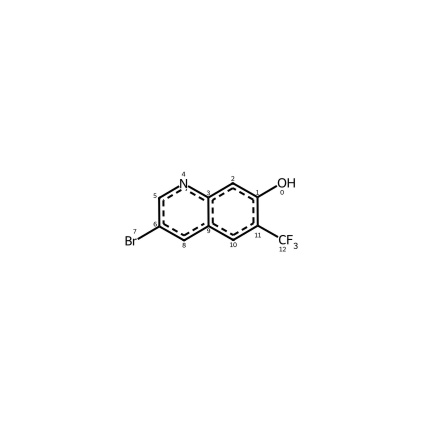 Oc1cc2ncc(Br)cc2cc1C(F)(F)F